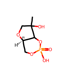 CC1(O)CO[C@@H]2COP(=O)(O)OC21